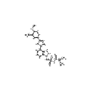 CC(C)Oc1ccc(-c2nnc(-c3cccc4c3CC[C@@H]4NS(=O)(=O)CC(=O)N(C)C)s2)cc1N